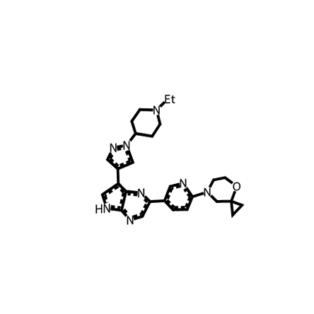 CCN1CCC(n2cc(-c3c[nH]c4ncc(-c5ccc(N6CCOC7(CC7)C6)nc5)nc34)cn2)CC1